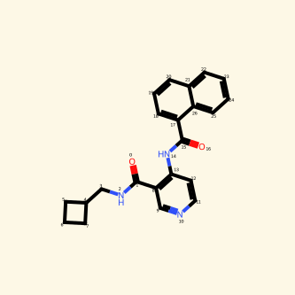 O=C(NCC1CCC1)c1cnccc1NC(=O)c1cccc2ccccc12